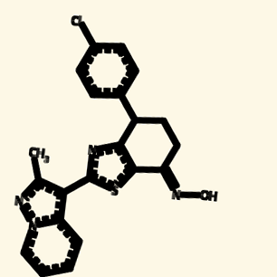 Cc1nn2ccccc2c1-c1nc2c(s1)/C(=N/O)CCC2c1ccc(Cl)cc1